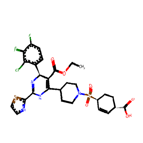 CCOC(=O)C1=C(C2CCN(S(=O)(=O)[C@@H]3C=C[C@@H](C(=O)O)CC3)CC2)NC(c2nccs2)=N[C@H]1c1ccc(F)c(F)c1Cl